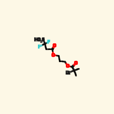 CCC(C)(C)C(=O)OCCCOC(=O)CC(F)(F)S(=O)(=O)O